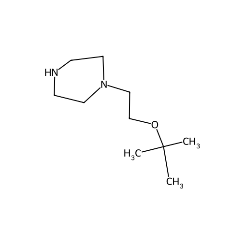 CC(C)(C)OCCN1CCNCC1